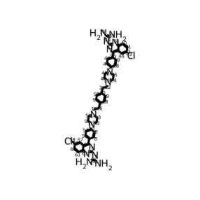 NC(N)=Nc1nc(-c2ccc(N3CCN(CCc4ccc(CCN5CCN(c6ccc(-c7nc(N=C(N)N)nc8ccc(Cl)cc78)cc6)CC5)cc4)CC3)cc2)c2cc(Cl)ccc2n1